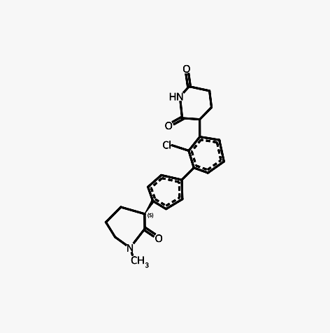 CN1CCC[C@@H](c2ccc(-c3cccc(C4CCC(=O)NC4=O)c3Cl)cc2)C1=O